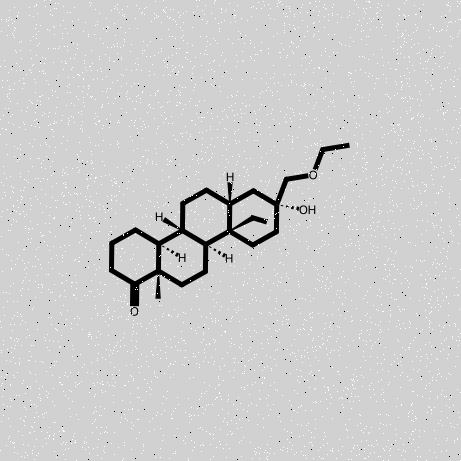 CCOC[C@@]1(O)CC[C@@]2(CC)[C@H](CC[C@@H]3[C@@H]2CC[C@]2(C)C(=O)CCC[C@@H]32)C1